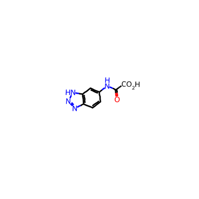 O=C(O)C(=O)Nc1ccc2nn[nH]c2c1